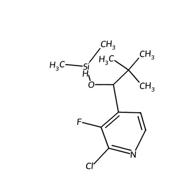 C[SiH](C)OC(c1ccnc(Cl)c1F)C(C)(C)C